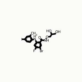 Cc1cc(I)ccc1Nc1cc(F)c(Br)cc1C(=O)NOCC(O)CO